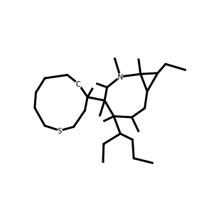 CCCC(CC)C1(C)C(C)CC2C(CC)C2(C)N(C)C(C)C1(C)C1(C)CCCCCCSCC1